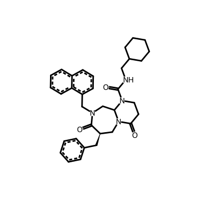 O=C1[C@H](Cc2ccccc2)CN2C(=O)CCN(C(=O)NCC3CCCCC3)C2CN1Cc1cccc2ccccc12